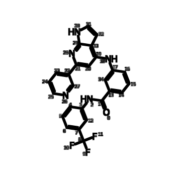 O=C(Nc1cccc(C(F)(F)F)c1)c1cccc(Nc2cc(-c3cccnc3)nc3[nH]ccc23)c1